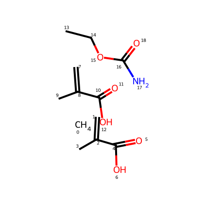 C.C=C(C)C(=O)O.C=C(C)C(=O)O.CCOC(N)=O